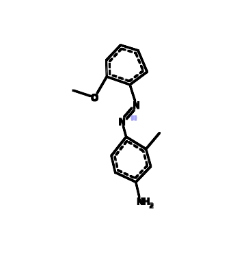 COc1ccccc1/N=N/c1ccc(N)cc1C